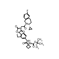 CC(C)(C)OC(=O)NC1(C(=O)Nc2ccc3c(c2)CC[C@@]32OC(=O)N(CC(=O)N3Cc4ccc(F)cc4CC[C@@H]3C3CC3)C2=O)CCC1